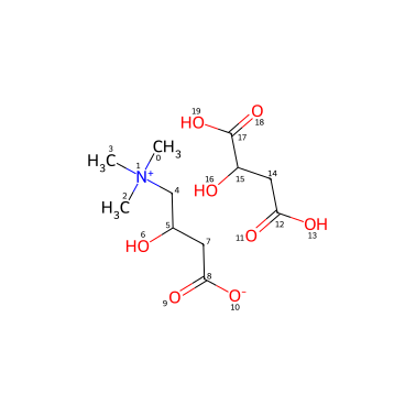 C[N+](C)(C)CC(O)CC(=O)[O-].O=C(O)CC(O)C(=O)O